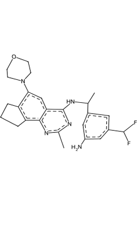 Cc1nc(NC(C)c2cc(N)cc(C(F)F)c2)c2cc(N3CCOCC3)c3c(c2n1)CCC3